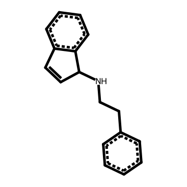 C1=CC(NCCc2ccccc2)c2ccccc21